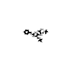 CC(C)(C)OC[C@H](NC(=O)[C@@H](COC(C)(C)C)NC(=O)OCc1ccccc1)C(=O)O